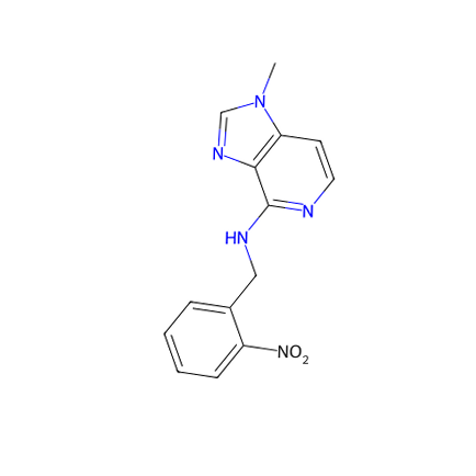 Cn1cnc2c(NCc3ccccc3[N+](=O)[O-])nccc21